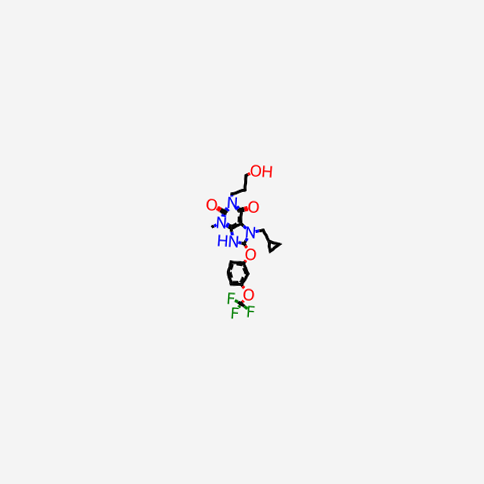 Cn1c2c(c(=O)n(CCCO)c1=O)N(CC1CC1)C(Oc1cccc(OC(F)(F)F)c1)N2